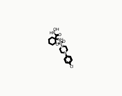 O=C(NO)C1(NS(=O)(=O)N2CCN(c3ccc(Cl)cc3)CC2)CCCCC1